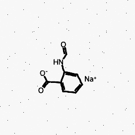 O=CNc1ccccc1C(=O)[O-].[Na+]